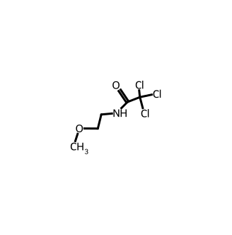 COCCNC(=O)C(Cl)(Cl)Cl